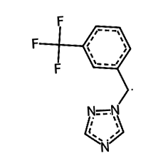 FC(F)(F)c1cccc([CH]n2cncn2)c1